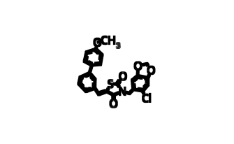 COc1ccc(-c2cccc(/C=C3\SC(=O)N(Cc4cc5c(cc4Cl)OCO5)C3=O)c2)cc1